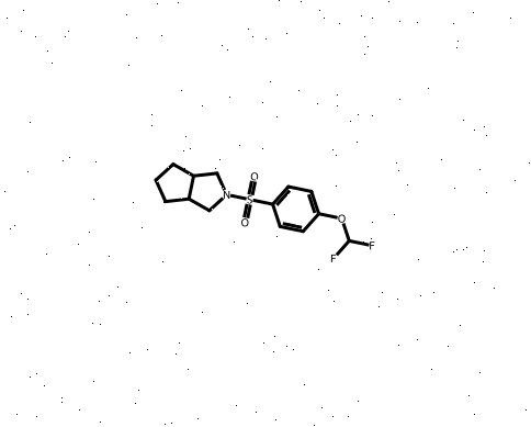 O=S(=O)(c1ccc(OC(F)F)cc1)N1CC2CCCC2C1